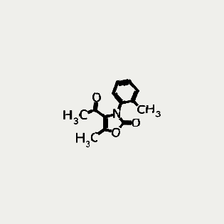 CC(=O)c1c(C)oc(=O)n1-c1ccccc1C